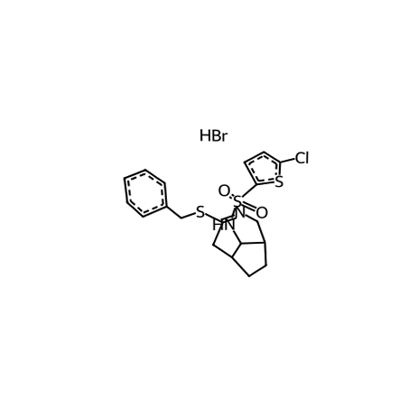 Br.O=S(=O)(NC1C2CCC1CC(SCc1ccccc1)=NC2)c1ccc(Cl)s1